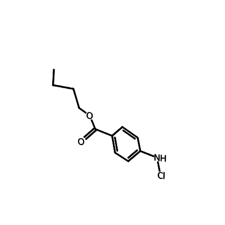 CCCCOC(=O)c1ccc(NCl)cc1